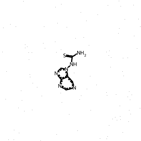 NC(=S)Nn1cnc2ncncc21